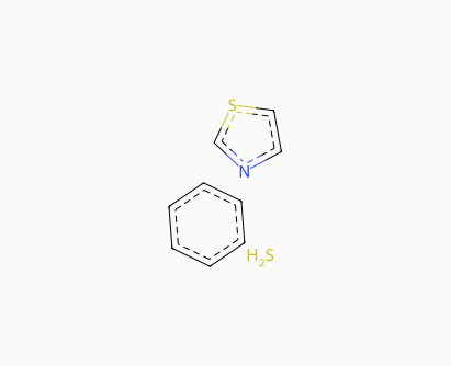 S.c1ccccc1.c1cscn1